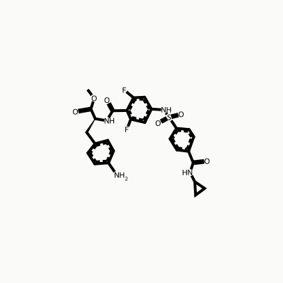 COC(=O)[C@H](Cc1ccc(N)cc1)NC(=O)c1c(F)cc(NS(=O)(=O)c2ccc(C(=O)NC3CC3)cc2)cc1F